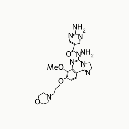 COc1c(OCCCN2CCOCC2)ccc2c1N=C(N(N)C(=O)c1cnc(N)nc1)N1CCN=C21